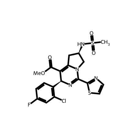 COC(=O)C1=C2C[C@@H](NS(C)(=O)=O)CN2C(c2nccs2)=N[C@H]1c1ccc(F)cc1Cl